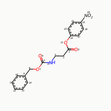 O=C(CCNC(=O)OCc1ccccc1)Oc1ccc([N+](=O)[O-])cc1